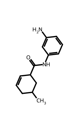 CC1CC=CC(C(=O)Nc2cccc(N)c2)C1